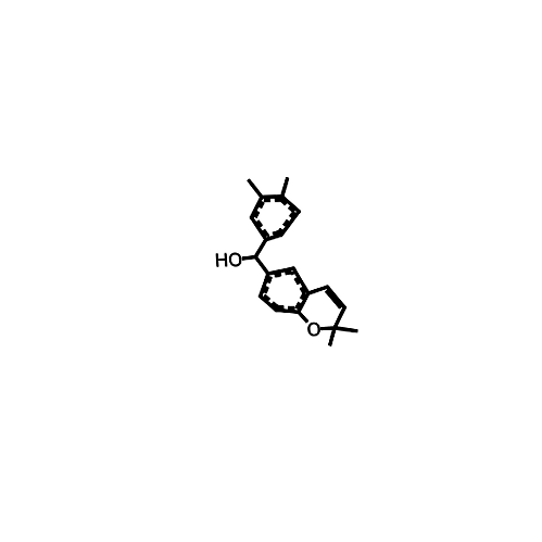 Cc1ccc(C(O)c2ccc3c(c2)C=CC(C)(C)O3)cc1C